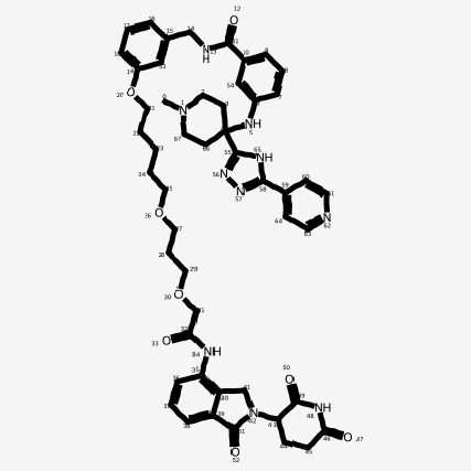 CN1CCC(Nc2cccc(C(=O)NCc3cccc(OCCCCCOCCCOCC(=O)Nc4cccc5c4CN(C4CCC(=O)NC4=O)C5=O)c3)c2)(c2nnc(-c3ccncc3)[nH]2)CC1